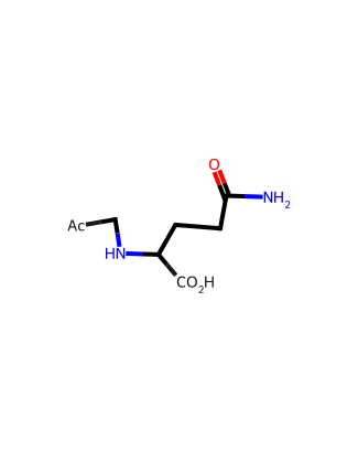 CC(=O)CNC(CCC(N)=O)C(=O)O